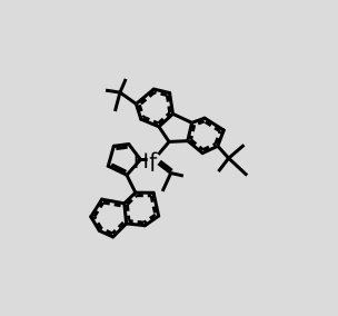 C[C](C)=[Hf]([CH]1C=CC=C1c1cccc2ccccc12)[CH]1c2cc(C(C)(C)C)ccc2-c2ccc(C(C)(C)C)cc21